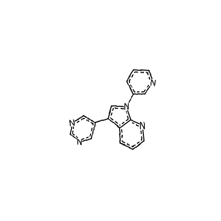 c1cncc(-n2cc(-c3cncnc3)c3cccnc32)c1